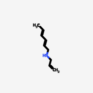 C=CCNCC=CC=CC